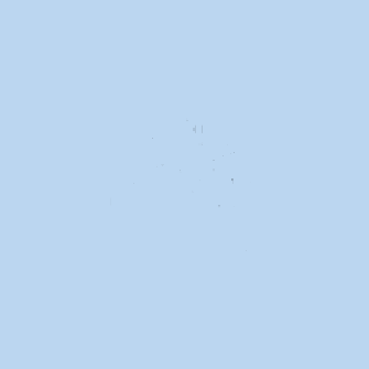 CCOC(=O)c1oc(C(=O)OCC)c(O)c1O